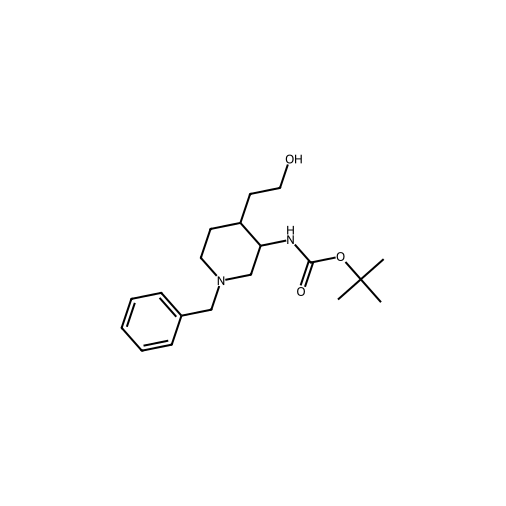 CC(C)(C)OC(=O)NC1CN(Cc2ccccc2)CCC1CCO